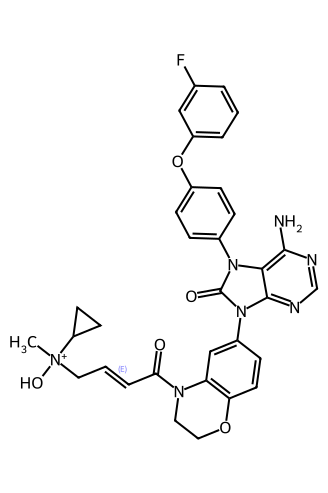 C[N+](O)(C/C=C/C(=O)N1CCOc2ccc(-n3c(=O)n(-c4ccc(Oc5cccc(F)c5)cc4)c4c(N)ncnc43)cc21)C1CC1